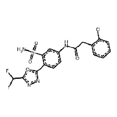 NS(=O)(=O)c1cc(NC(=O)Cc2ccccc2Cl)ccc1-c1nnc(C(F)F)o1